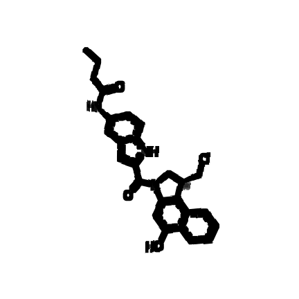 CCCC(=O)Nc1ccc2[nH]c(C(=O)N3C[C@@H](CCl)c4c3cc(O)c3ccccc43)cc2c1